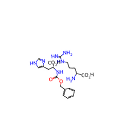 N=C(N)NCCCC(N)C(=O)O.O=C(NC(Cc1c[nH]cn1)C(=O)O)OCc1ccccc1